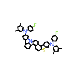 Cc1cc(C)cc(N(c2ccc(F)cc2)c2ccc3c(c2)sc2ccc4c(ccc5c4c4cccc6c7ccc(N(c8ccc(F)cc8)c8cc(C)cc(C)c8)cc7n5c64)c23)c1